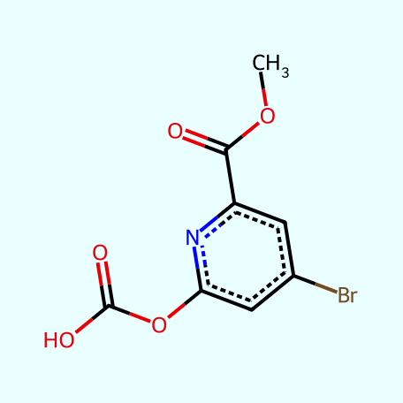 COC(=O)c1cc(Br)cc(OC(=O)O)n1